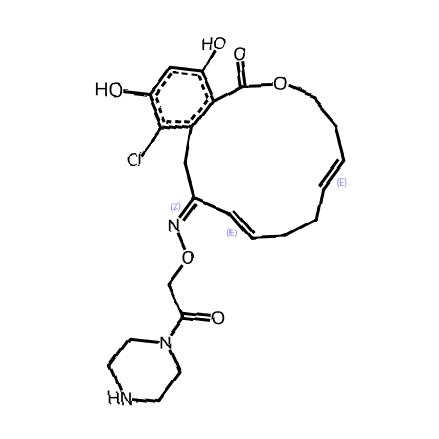 O=C1OCC/C=C/CC/C=C/C(=N\OCC(=O)N2CCNCC2)Cc2c(Cl)c(O)cc(O)c21